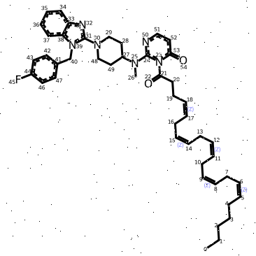 CCCCC/C=C\C/C=C\C/C=C\C/C=C\C/C=C\CCC(=O)n1c(N(C)C2CCN(c3nc4ccccc4n3Cc3ccc(F)cc3)CC2)nccc1=O